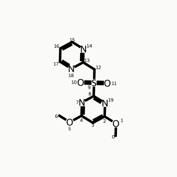 COc1cc(OC)nc(S(=O)(=O)Cc2ncccn2)n1